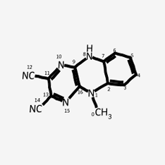 CN1c2ccccc2Nc2nc(C#N)c(C#N)nc21